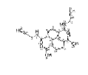 C#CCNC(=O)c1ccc(C(=O)NCC#C)c2c(C(=O)O)ccc(C(=O)O)c12